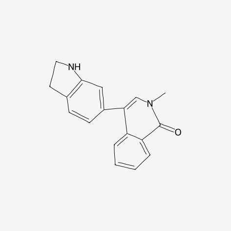 Cn1cc(-c2ccc3c(c2)NCC3)c2ccccc2c1=O